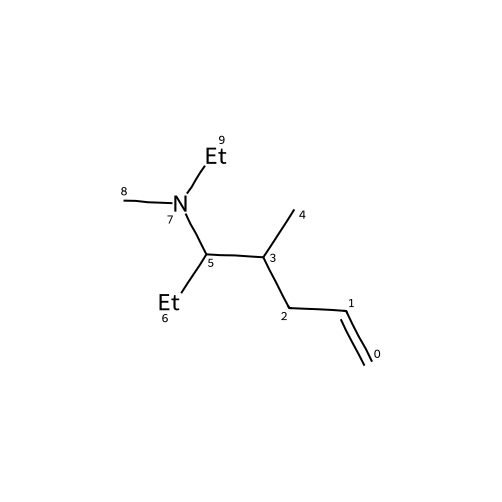 C=CCC(C)C(CC)N(C)CC